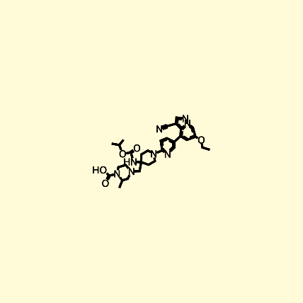 CCOc1cc(-c2ccc(N3CCC(CN4CCN(C(=O)O)C(C)C4)(NC(=O)OC(C)C)CC3)nc2)c2c(C#N)cnn2c1